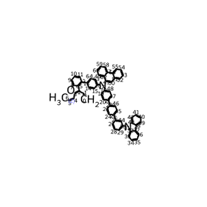 C=Cc1c(/C=C\C)oc2cccc(-c3ccc(N(c4ccc(-c5ccc(-c6cccc(-n7c8ccccc8c8ccccc87)c6)cc5)cc4)c4cc5ccccc5c5ccccc45)cc3)c12